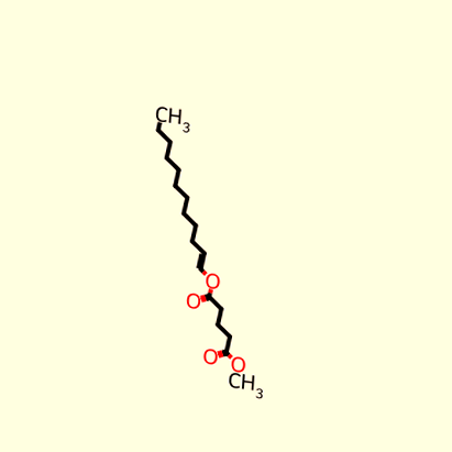 CCCCCCCCCC/C=C/OC(=O)CCCC(=O)OC